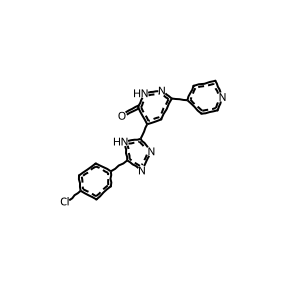 O=c1[nH]nc(-c2ccncc2)cc1-c1nnc(-c2ccc(Cl)cc2)[nH]1